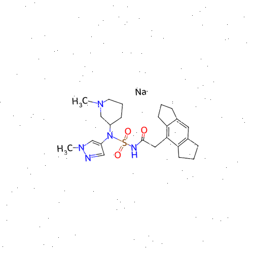 CN1CCCC(N(c2cnn(C)c2)S(=O)(=O)NC(=O)Cc2c3c(cc4c2CCC4)CCC3)C1.[Na]